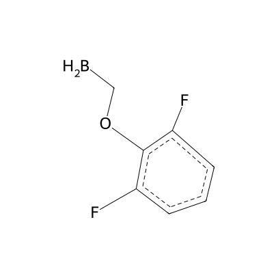 BCOc1c(F)cccc1F